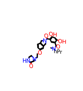 CCCN(C)C(=O)c1cc(C(=O)N2Cc3ccc(OCCN4CCNC(=O)C4)cc3C2)c(O)cc1O